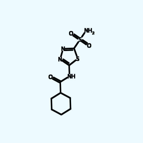 NS(=O)(=O)c1nnc(NC(=O)C2CCCCC2)s1